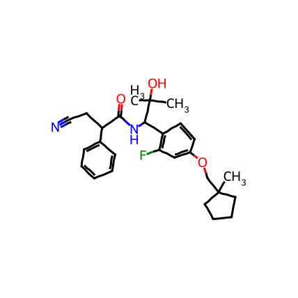 CC1(COc2ccc(C(NC(=O)C(CC#N)c3ccccc3)C(C)(C)O)c(F)c2)CCCC1